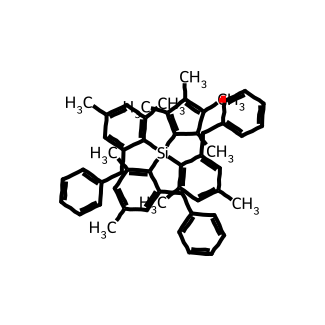 CC1=C(C)C(C)C([Si](c2c(C)cc(C)cc2Cc2ccccc2)(c2c(C)cc(C)cc2Cc2ccccc2)c2c(C)cc(C)cc2Cc2ccccc2)=C1C